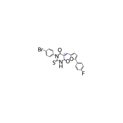 O=C1NC(=S)N(c2ccc(Br)cc2)C(=O)/C1=C/c1ccc(-c2ccc(F)cc2)o1